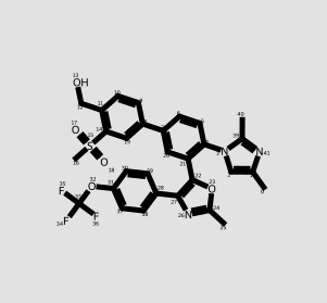 Cc1cn(-c2ccc(-c3ccc(CO)c(S(C)(=O)=O)c3)cc2-c2oc(C)nc2-c2ccc(OC(F)(F)F)cc2)c(C)n1